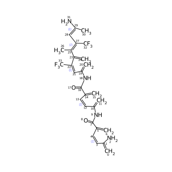 C=C(N)/C=C\C(=C)C(=O)NC(=C)/C=C\C(=C)C(=O)NC(=C)/C=C(\C(=C)/C(C)=C(/C=C(\C)N)C(F)(F)F)C(F)(F)F